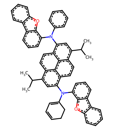 CC(C)c1cc(N(C2=CC=CCC2)c2cccc3c2oc2ccccc23)c2ccc3c(C(C)C)cc(N(c4ccccc4)c4cccc5c4oc4ccccc45)c4ccc1c2c34